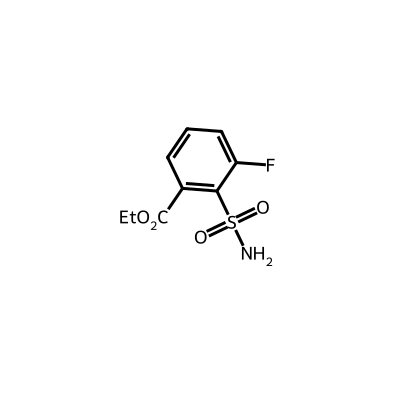 CCOC(=O)c1cccc(F)c1S(N)(=O)=O